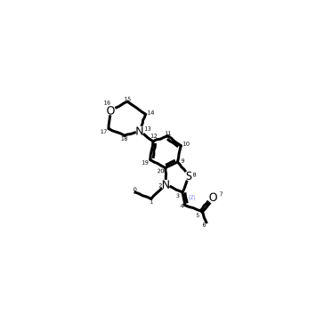 CCN1/C(=C/C(C)=O)Sc2ccc(N3CCOCC3)cc21